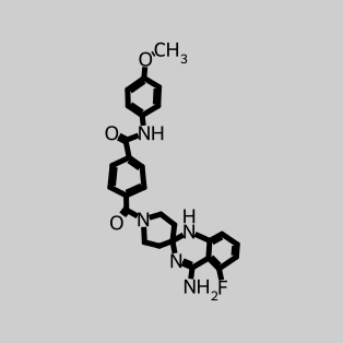 COc1ccc(NC(=O)c2ccc(C(=O)N3CCC4(CC3)N=C(N)c3c(F)cccc3N4)cc2)cc1